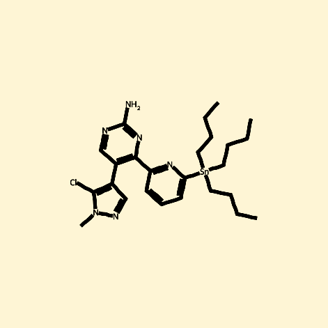 CCC[CH2][Sn]([CH2]CCC)([CH2]CCC)[c]1cccc(-c2nc(N)ncc2-c2cnn(C)c2Cl)n1